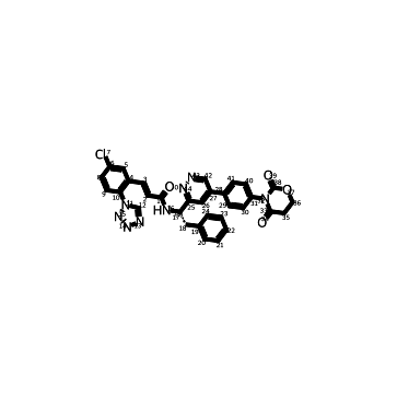 O=C(C=Cc1cc(Cl)ccc1-n1cnnn1)N[C@@H](Cc1ccccc1)c1cc(-c2ccc(N3C(=O)CCOC3=O)cc2)cnn1